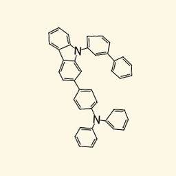 c1ccc(-c2cccc(-n3c4ccccc4c4ccc(-c5ccc(N(c6ccccc6)c6ccccc6)cc5)cc43)c2)cc1